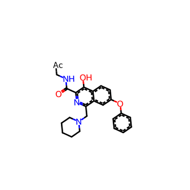 CC(=O)CNC(=O)c1nc(CN2CCCCC2)c2cc(Oc3ccccc3)ccc2c1O